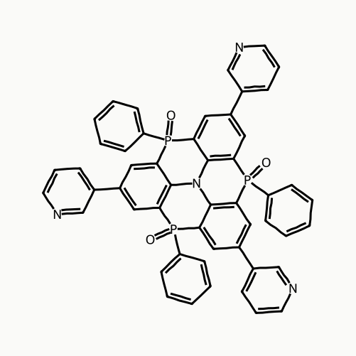 O=P1(c2ccccc2)c2cc(-c3cccnc3)cc3c2N2c4c1cc(-c1cccnc1)cc4P(=O)(c1ccccc1)c1cc(-c4cccnc4)cc(c12)P3(=O)c1ccccc1